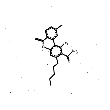 C=C1Oc2cc(CCCCC)c(C(N)=O)c(O)c2-c2cc(C)ccc21